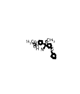 CCn1c(-c2cccc(NS(=O)(=O)CC)c2)c(C#N)c2cc(OCc3ccccc3)ccc21